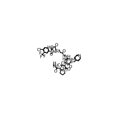 CC(C)(C)[C@H](NC(=O)[C@H](Cc1ccncc1)NC(=O)NNC(=O)CC[C@H](NS(=O)(=O)c1ccc(Cl)c(C(F)(F)F)c1)C(=O)O)C(=O)N1CCC[C@H]1CC(N)=O